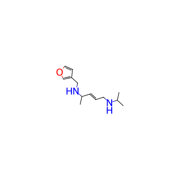 CC(C)NC/C=C/C(C)NCc1ccoc1